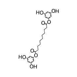 O=C(CCCCCCCCCC(=O)Oc1cc(O)cc(O)c1)Oc1cc(O)cc(O)c1